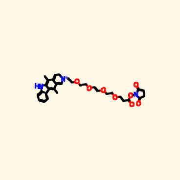 Cc1c2cc[n+](CCOCCOCCOCCOCCC(=O)ON3C(=O)CCC3=O)cc2c(C)c2c1[nH]c1ccccc12